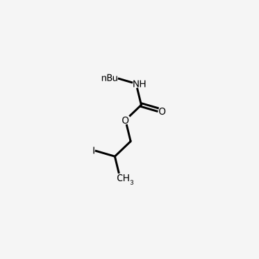 CCCCNC(=O)OCC(C)I